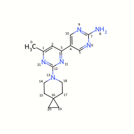 Cc1cc(-c2cnc(N)nc2)nc(N2CCC3(CC2)CC3)n1